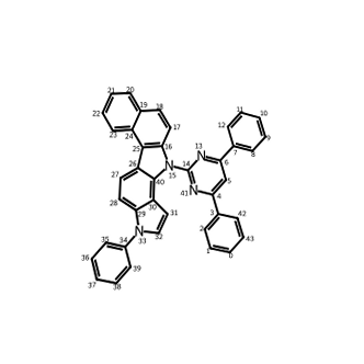 c1ccc(-c2cc(-c3ccccc3)nc(-n3c4ccc5ccccc5c4c4ccc5c(ccn5-c5ccccc5)c43)n2)cc1